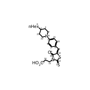 CCCCCCC1CCN(c2ccc(C=C3SC(=S)N(CCC(=O)O)C3=O)cc2)CC1